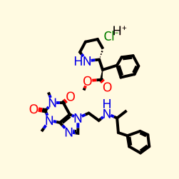 CC(Cc1ccccc1)NCCn1cnc2c1c(=O)n(C)c(=O)n2C.COC(=O)[C@H](c1ccccc1)[C@H]1CCCCN1.[Cl-].[H+]